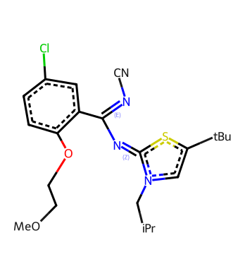 COCCOc1ccc(Cl)cc1C(/N=c1\sc(C(C)(C)C)cn1CC(C)C)=N\C#N